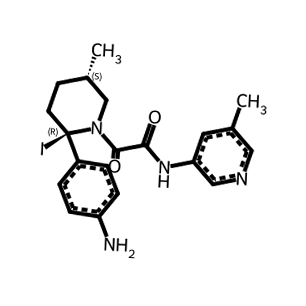 Cc1cncc(NC(=O)C(=O)N2C[C@@H](C)CC[C@@]2(I)c2ccc(N)cc2)c1